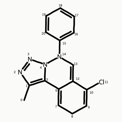 Cc1nnn2c1C1=CCC=C(Cl)C1=CN2c1ccccc1